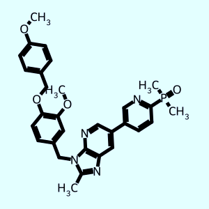 COc1ccc(COc2ccc(Cn3c(C)nc4cc(-c5ccc(P(C)(C)=O)nc5)cnc43)cc2OC)cc1